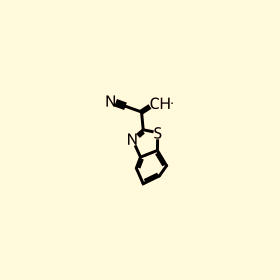 [CH]=C(C#N)c1nc2ccccc2s1